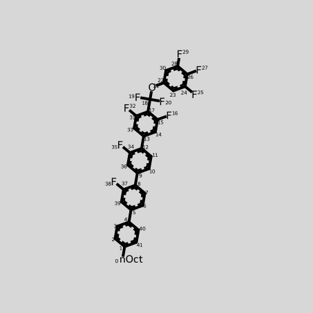 CCCCCCCCc1ccc(-c2ccc(-c3ccc(-c4cc(F)c(C(F)(F)Oc5cc(F)c(F)c(F)c5)c(F)c4)c(F)c3)c(F)c2)cc1